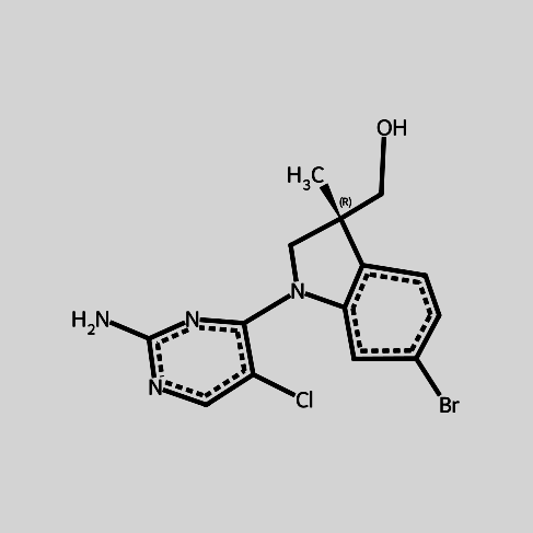 C[C@]1(CO)CN(c2nc(N)ncc2Cl)c2cc(Br)ccc21